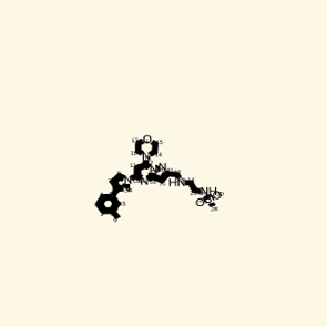 Cc1cccc(-c2ccn(-c3cc(N4CCOCC4)n4nc(CNCCNS(C)(=O)=O)cc4n3)n2)c1